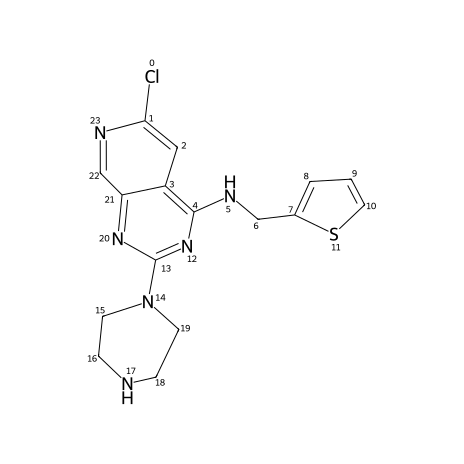 Clc1cc2c(NCc3cccs3)nc(N3CCNCC3)nc2cn1